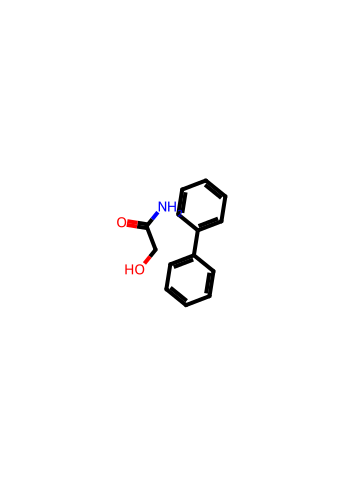 NC(=O)CO.c1ccc(-c2ccccc2)cc1